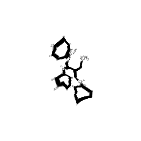 CCC(=C\Oc1ccccc1)/C(=N\c1ccccc1)Sc1ccccc1